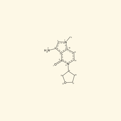 Cn1cc(N)c2c(=O)n(C3CCOC3)ccc21